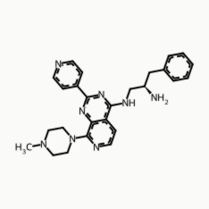 CN1CCN(c2nccc3c(NC[C@H](N)Cc4ccccc4)nc(-c4ccncc4)nc23)CC1